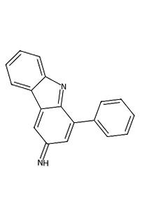 N=C1C=C(c2ccccc2)C2=Nc3ccccc3C2=C1